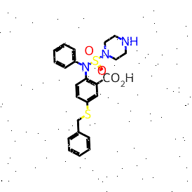 O=C(O)c1cc(SCc2ccccc2)ccc1N(c1ccccc1)S(=O)(=O)N1CCNCC1